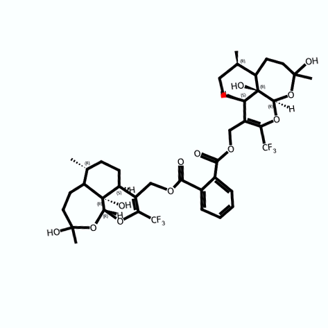 C[C@@H]1CC[C@H]2C(COC(=O)c3ccccc3C(=O)OCC3=C(C(F)(F)F)O[C@@H]4OC(C)(O)CCC5[C@H](C)CC[C@@H]3[C@]54O)=C(C(F)(F)F)O[C@@H]3OC(C)(O)CCC1[C@]32O